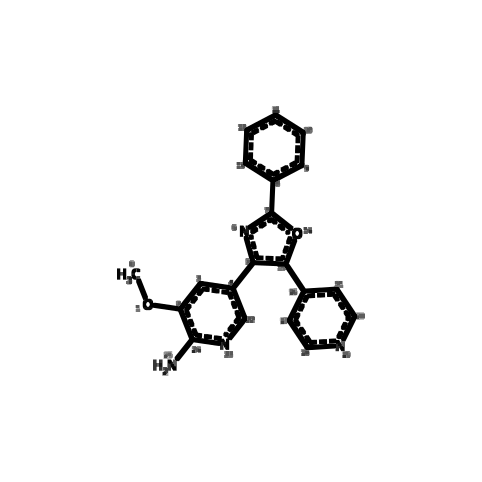 COc1cc(-c2nc(-c3ccccc3)oc2-c2ccncc2)cnc1N